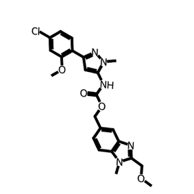 COCc1nc2cc(COC(=O)Nc3cc(-c4ccc(Cl)cc4OC)nn3C)ccc2n1C